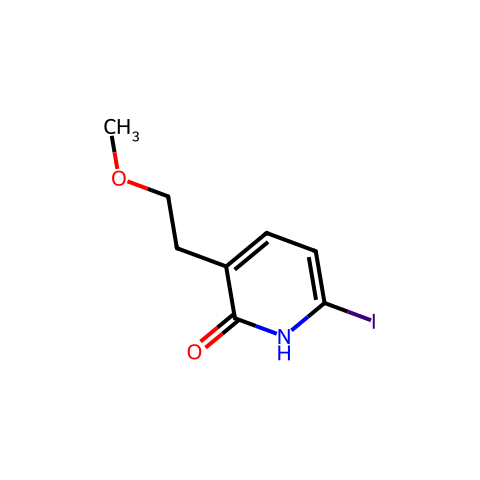 COCCc1ccc(I)[nH]c1=O